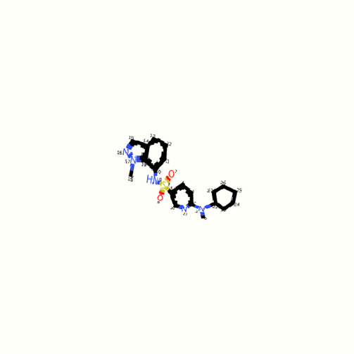 CN(c1ccc(S(=O)(=O)Nc2cccc3cnn(C)c23)cn1)C1CCCCC1